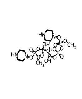 COP(=O)(ON1CCNCC1)OP(=O)(O)O[PH](=O)OP(=O)(O)OP(=O)(OC)ON1CCNCC1